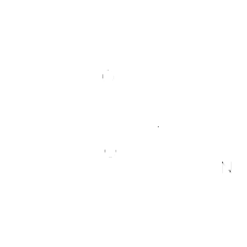 CC(C)(c1ccncc1)C1COc2cc(F)ccc2C1=O